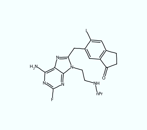 CCCNCCn1c(Cc2cc3c(cc2I)CCC3=O)nc2c(N)nc(F)nc21